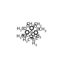 COc1cc(OC)cc([Si](C2=C(C)C(C)=C(C)C2C)(c2cc(OC)cc(OC)c2)c2cc(OC)cc(OC)c2)c1